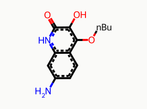 CCCCOc1c(O)c(=O)[nH]c2cc(N)ccc12